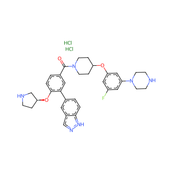 Cl.Cl.O=C(c1ccc(O[C@H]2CCNC2)c(-c2ccc3[nH]ncc3c2)c1)N1CCC(Oc2cc(F)cc(N3CCNCC3)c2)CC1